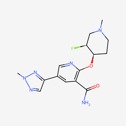 CN1CC[C@@H](Oc2ncc(-c3cnn(C)n3)cc2C(N)=O)[C@@H](F)C1